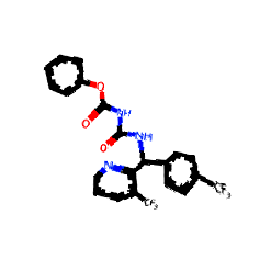 O=C(NC(=O)Oc1ccccc1)NC(c1ccc(C(F)(F)F)cc1)c1ncccc1C(F)(F)F